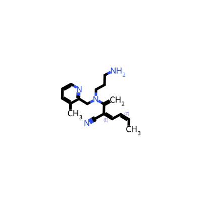 C=C(/C(C#N)=C\C=C/C)N(CCCN)Cc1ncccc1C